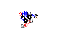 CCOc1cc2ncc(C(N)=O)c(Nc3cccc(CN4CCSC4)c3CC)c2cc1OCC